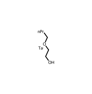 CCCCOCCO.[Ta]